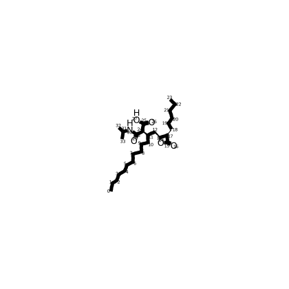 CCCCCCCCCCCC(C[C@@H]1OC(=O)[C@H]1CCCCCC)[C@H](C(=O)O)C(=O)NC(C)C